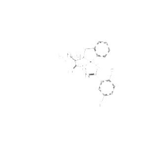 CC(=O)N1N=C(c2cc(F)ccc2F)SC12c1ccccc1CC2CN